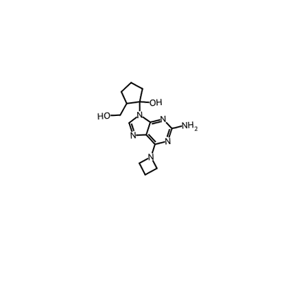 Nc1nc(N2CCC2)c2ncn(C3(O)CCCC3CO)c2n1